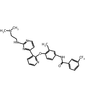 Cc1cc(NC(=O)c2cccc(C(F)(F)F)c2)ccc1Oc1ncccc1-c1ccnc(NCCN(C)C)n1